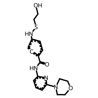 O=C(Nc1cccc(N2CCOCC2)n1)c1ccc(NSCCO)cc1